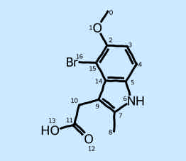 COc1ccc2[nH]c(C)c(CC(=O)O)c2c1Br